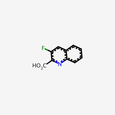 O=C(O)c1nc2ccccc2cc1F